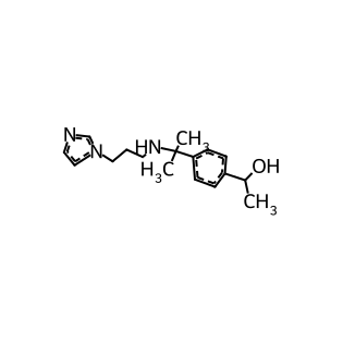 CC(O)c1ccc(C(C)(C)NCCCn2ccnc2)cc1